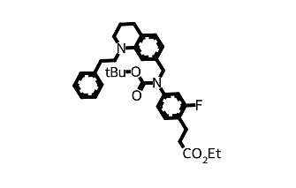 CCOC(=O)CCc1ccc(N(Cc2ccc3c(c2)N(CCc2ccccc2)CCC3)C(=O)OC(C)(C)C)cc1F